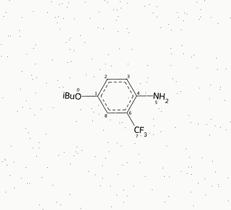 CC(C)COc1ccc(N)c(C(F)(F)F)c1